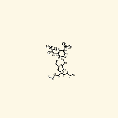 CCCC[N+](CCCC)(CCCC)CCCC.O=[N+]([O-])c1cccc(CS(=O)(=O)O)c1